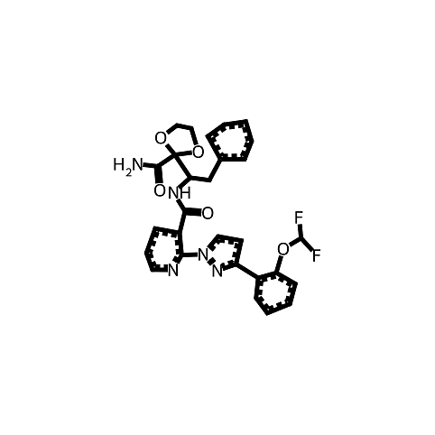 NC(=O)C1(C(Cc2ccccc2)NC(=O)c2cccnc2-n2ccc(-c3ccccc3OC(F)F)n2)OCCO1